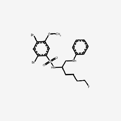 COc1cc(S(=O)(=O)NC(CCCCF)CNc2ccccc2)c(Br)cc1Br